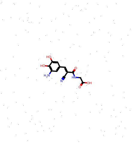 N#C/C(=C\c1cc(N)c(O)c(O)c1)C(=O)NCC(=O)O